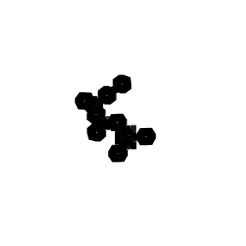 c1ccc(-c2ccc(-n3c4ccccc4c4cc5c6ccccc6n(-c6cccc(-c7nc(-c8ccccc8)nc(-c8ccccc8)n7)c6)c5cc43)cc2)cc1